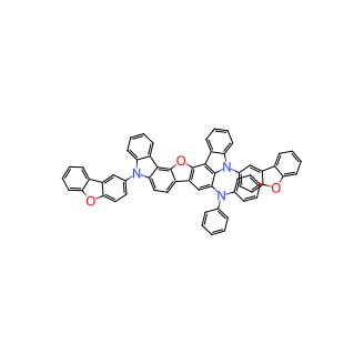 c1ccc(N(c2ccccc2)c2cc3c4ccc5c(c6ccccc6n5-c5ccc6oc7ccccc7c6c5)c4oc3c3c4ccccc4n(-c4ccc5oc6ccccc6c5c4)c23)cc1